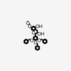 COCOc1cc(O)c2c(c1)OC(c1cc(OCc3ccccc3)c(OCc3ccccc3)c(OCc3ccccc3)c1)C(O)C2